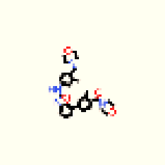 Cc1cc(Nc2nc3cccc(-c4ccc(C(=O)N5CCOCC5)c(C)c4)c3o2)ccc1CN1CCOCC1